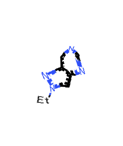 CCn1cc2ncncc2n1